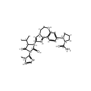 CC(C)C1C(=O)N(c2ncnn2C)C(=O)N1c1cn2c(n1)-c1ccc(N3CCC[C@H]3C(N)=O)cc1OCC2